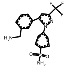 NCc1cccc(-c2cc(C(F)(F)F)nn2-c2ccc(S(N)(=O)=O)cc2)c1